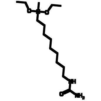 CCO[Si](C)(CCCCCCCCCNC(N)=O)OCC